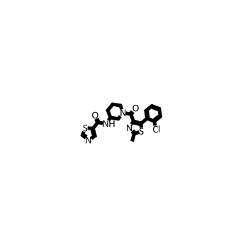 Cc1nc(C(=O)N2CCCC(NC(=O)c3cncs3)C2)c(-c2ccccc2Cl)s1